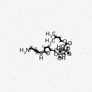 CC(C)CCOP(=O)(O)OP(=O)(O)OP(=O)(O)OC[C@@H]1CC[C@H](BC#CCN)O1